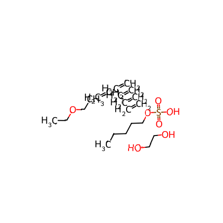 C=C.C=C.C=C.C=C.C=C.CCCCCOS(=O)(=O)O.CCOCC.OCCO